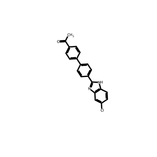 CC(=O)c1ccc(-c2ccc(-c3nc4cc(Cl)ccc4[nH]3)cc2)cc1